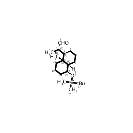 C[C@H](C=O)[C@H]1CCC[C@H]2[C@@H](O[Si](C)(C)C(C)(C)C)CCC[C@]12C